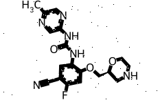 Cc1cnc(NC(=O)Nc2cc(C#N)c(F)cc2OC[C@@H]2CNCCO2)cn1